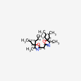 CCCC1(CCC)OC(CC2=N[C@H](C)C(CCC)(CCC)O2)=N[C@@H]1C